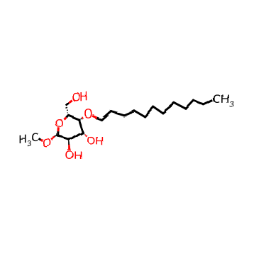 CCCCCCCCCCCCO[C@@H]1[C@H](O)[C@@H](O)[C@@H](OC)O[C@@H]1CO